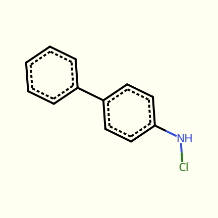 ClNc1ccc(-c2ccccc2)cc1